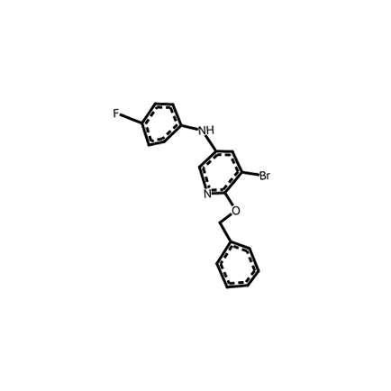 Fc1ccc(Nc2cnc(OCc3ccccc3)c(Br)c2)cc1